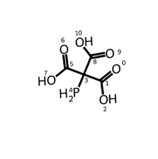 O=C(O)C(P)(C(=O)O)C(=O)O